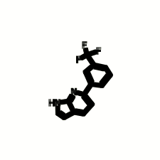 FC(F)(F)c1cccc(-c2ccc3cc[nH]c3n2)c1